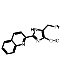 CC(C)Cc1[nH]c(-c2ccc3ccccc3n2)nc1C=O